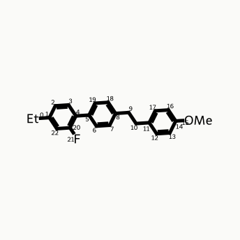 CCc1ccc(-c2ccc(CCc3ccc(OC)cc3)cc2)c(F)c1